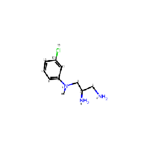 CN(CC(N)CN)c1cccc(Cl)c1